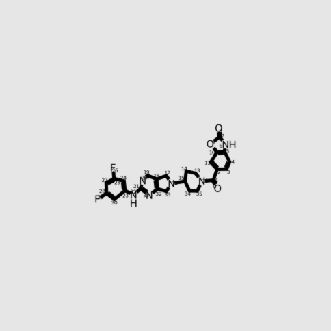 O=C(c1ccc2[nH]c(=O)oc2c1)N1CCC(N2Cc3cnc(Nc4cc(F)cc(F)c4)nc3C2)CC1